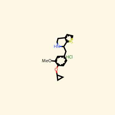 COc1cc(CC2NCCc3ccsc32)ccc1OC1CC1.Cl